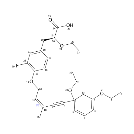 CCOC1=CC=CC(C#C/C(C)=C\COc2ccc(C[C@H](OCC)C(=O)O)cc2I)(OCC)C1